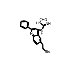 CCC(C)CCc1ccc2nc(-c3ccccc3)cc(NC(=N)NC=O)c2c1